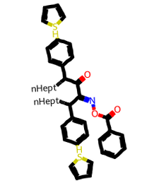 CCCCCCCC(C(=O)C(=NOC(=O)c1ccccc1)C(CCCCCCC)c1ccc([SH]2C=CC=C2)cc1)c1ccc([SH]2C=CC=C2)cc1